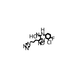 O/N=C(/Nc1ccc(F)c(Cl)c1)c1nonc1CCCn1cnnc1